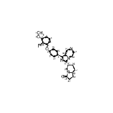 COc1cccc(Oc2ccc(-c3nc([C@@H]4CCC5CCC(=O)N5C4)n4ccncc34)cc2)c1F